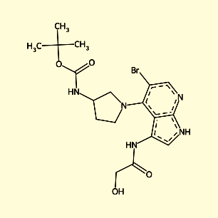 CC(C)(C)OC(=O)NC1CCN(c2c(Br)cnc3[nH]cc(NC(=O)CO)c23)C1